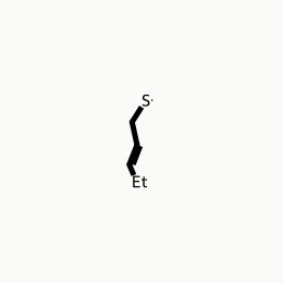 [CH2]CC=CC[S]